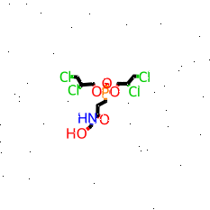 O=C(CCP(=O)(OCC(Cl)CCl)OCC(Cl)CCl)NCO